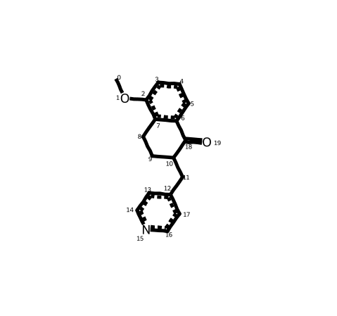 COc1cccc2c1CCC(Cc1ccncc1)C2=O